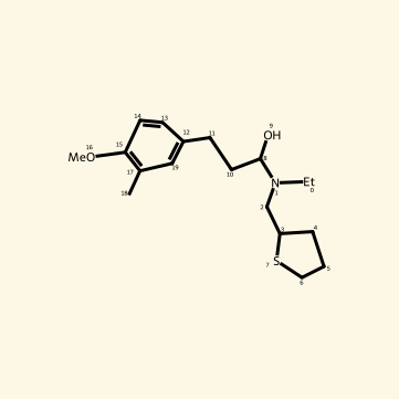 CCN(CC1CCCS1)C(O)CCc1ccc(OC)c(C)c1